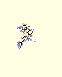 Cn1cc(C2=N[C@H](N)N(c3ccnc(C#N)c3OC3CCCNC3)C=C2)cn1